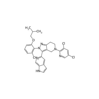 Cc1cccc(OCC(C)C)c1-n1nc2c(c1-c1ccc3[nH]ccc3c1)CN(c1ncc(Cl)cc1Cl)CC2